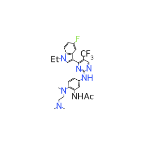 CCn1cc(-c2nc(Nc3ccc(N(C)CCN(C)C)c(NC(C)=O)c3)ncc2C(F)(F)F)c2cc(F)ccc21